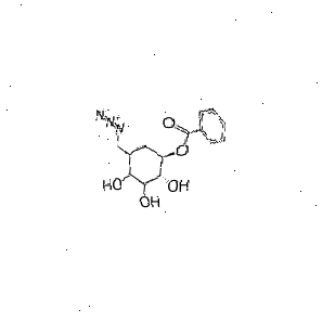 [N-]=[N+]=NCC1C[C@@H](OC(=O)c2ccccc2)[C@H](O)C(O)C1O